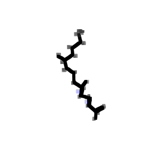 [CH]=C(C)/C=C/C=C(\C)CCCC(C)CCCC(C)C